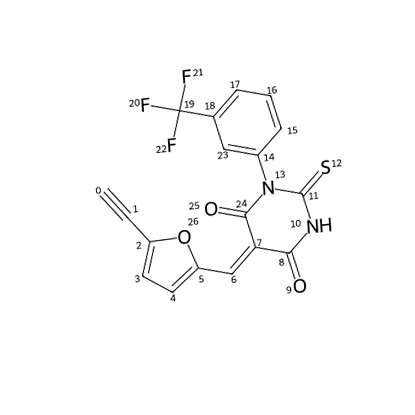 C#Cc1ccc(C=C2C(=O)NC(=S)N(c3cccc(C(F)(F)F)c3)C2=O)o1